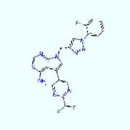 Nc1ncnc2c1c(-c1cnc(C(F)F)nc1)cn2Cc1cn(-c2ccccc2F)nn1